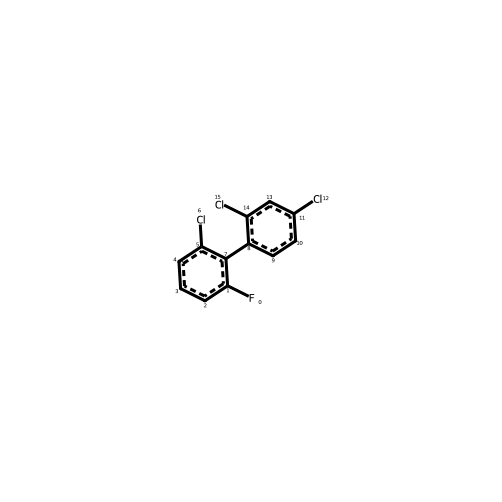 Fc1cc[c]c(Cl)c1-c1ccc(Cl)cc1Cl